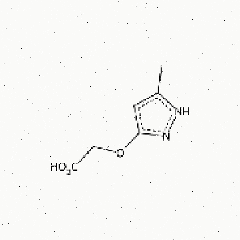 Cc1cc(OCC(=O)O)n[nH]1